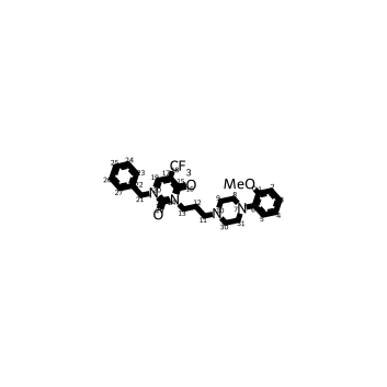 COc1ccccc1N1CCN(CCCn2c(=O)c(C(F)(F)F)cn(Cc3ccccc3)c2=O)CC1